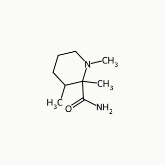 CC1CCCN(C)C1(C)C(N)=O